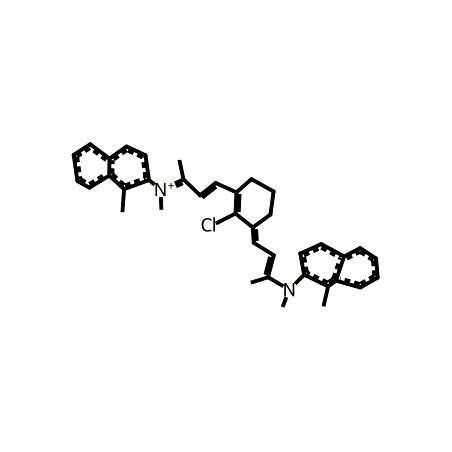 C/C(=C\C=C1/CCCC(/C=C/C(C)=[N+](\C)c2ccc3ccccc3c2C)=C1Cl)N(C)c1ccc2ccccc2c1C